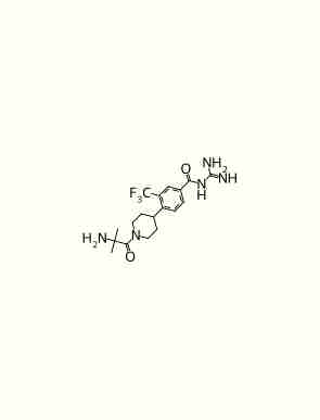 CC(C)(N)C(=O)N1CCC(c2ccc(C(=O)NC(=N)N)cc2C(F)(F)F)CC1